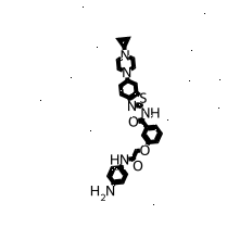 Nc1ccc(NC(=O)COc2cccc(C(=O)Nc3nc4c(s3)CC(N3CCN(C5CC5)CC3)CC4)c2)cc1